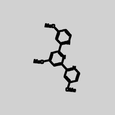 COc1ccnc(-c2cc(OC)cc(-c3cc(OC)ccn3)n2)c1